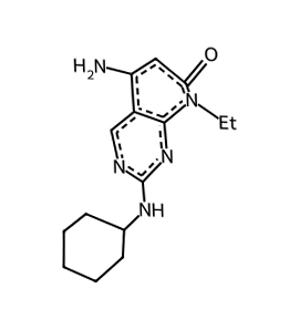 CCn1c(=O)cc(N)c2cnc(NC3CCCCC3)nc21